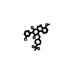 COc1cccc2c1ncc1c(=O)n(-c3cccc(Cl)c3)c(=O)n(CC3CCN(S(C)(=O)=O)CC3)c12